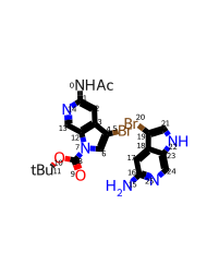 CC(=O)Nc1cc2c(Br)cn(C(=O)OC(C)(C)C)c2cn1.Nc1cc2c(Br)c[nH]c2cn1